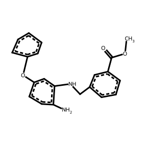 COC(=O)c1cccc(CNc2cc(Oc3ccccc3)ccc2N)c1